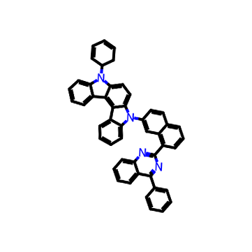 C1=CCC(n2c3ccccc3c3c4c5ccccc5n(-c5ccc6cccc(-c7nc(-c8ccccc8)c8ccccc8n7)c6c5)c4ccc32)C=C1